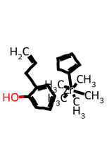 C=CCc1ccccc1O.[CH3][Zr]([CH3])([CH3])([CH3])([CH3])[C]1=CC=CC1